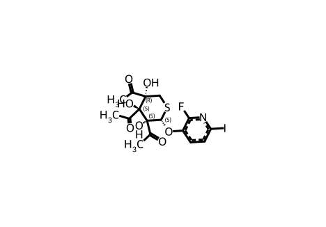 CC(=O)[C@]1(O)[C@@](O)(C(C)=O)CS[C@H](Oc2ccc(I)nc2F)[C@@]1(O)C(C)=O